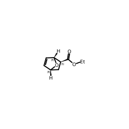 CCOC(=O)[C@H]1C[C@@H]2C=C[C@H]1O2